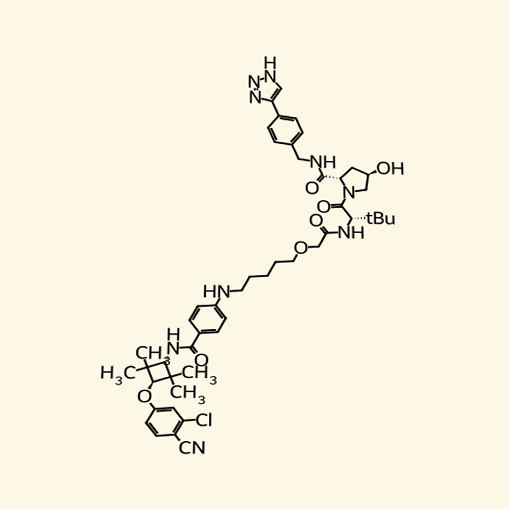 CC(C)(C)[C@H](NC(=O)COCCCCCNc1ccc(C(=O)N[C@H]2C(C)(C)[C@H](Oc3ccc(C#N)c(Cl)c3)C2(C)C)cc1)C(=O)N1C[C@H](O)C[C@H]1C(=O)NCc1ccc(-c2c[nH]nn2)cc1